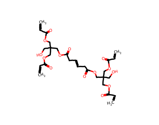 C=CC(=O)OCC(CO)(COC(=O)C=C)COC(=O)C/C=C/CC(=O)OCC(CO)(COC(=O)C=C)COC(=O)C=C